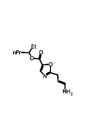 CCCC(CC)OC(=O)c1cnc(CC=CN)o1